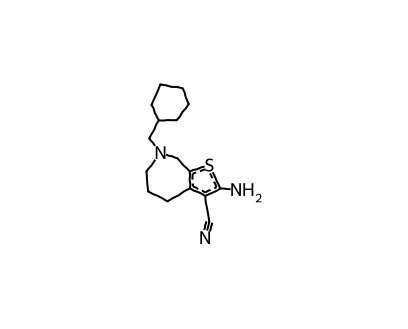 N#Cc1c(N)sc2c1CCCN(CC1CCCCC1)C2